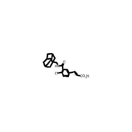 O=C(O)/C=C/c1ccc(Cl)c(C(=O)NCC23CC4CC(CC(C4)C2)C3)c1